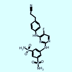 N#CCCc1ccc(Nc2nc(Nc3cc(S(N)(=O)=O)cc(S(N)(=O)=O)c3)ncc2F)cc1